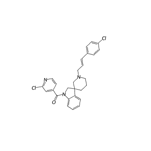 O=C(c1ccnc(Cl)c1)N1CC2(CCCN(C/C=C/c3ccc(Cl)cc3)C2)c2ccccc21